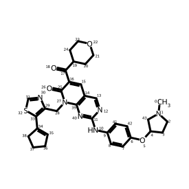 CN1CCC(Oc2ccc(Nc3ncc4cc(C(=O)C5CCOCC5)c(=O)n(Cc5ncsc5C5=CCCC5)c4n3)cc2)C1